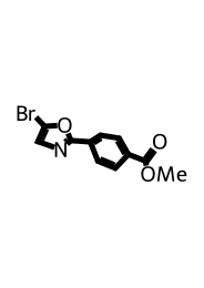 COC(=O)c1ccc(-c2ncc(Br)o2)cc1